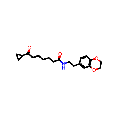 O=C(CCCCCC(=O)C1CC1)NCCc1ccc2c(c1)OCCO2